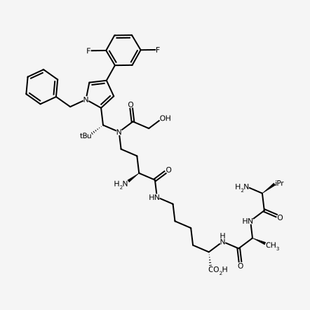 CC(C)[C@H](N)C(=O)N[C@@H](C)C(=O)N[C@@H](CCCCNC(=O)[C@@H](N)CCN(C(=O)CO)[C@@H](c1cc(-c2cc(F)ccc2F)cn1Cc1ccccc1)C(C)(C)C)C(=O)O